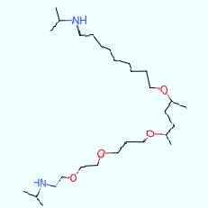 CC(C)NCCCCCCCCCOC(C)CCC(C)OCCCOCCOCCNC(C)C